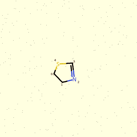 [C]1CN=CS1